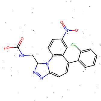 O=C(O)NCC1N=NC2=CC=C(c3ccccc3Cl)c3cc([N+](=O)[O-])ccc3N21